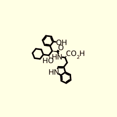 O=C(O)[C@H](Cc1c[nH]c2ccccc12)NC(=O)[C@H](c1ccccc1O)[C@H](O)C1CCCCC1